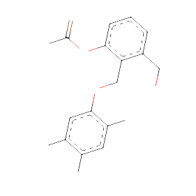 CCC(=S)Oc1cccc(CO)c1COc1cc(C)c(C)cc1C